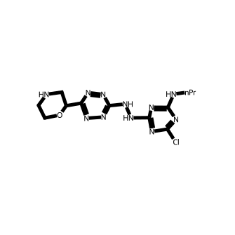 CCCNc1nc(Cl)nc(NNc2nnc(C3CNCCO3)nn2)n1